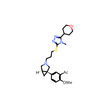 COc1ccc([C@@]23C[C@H]2CN(CCCSc2nnc(C4CCOCC4)n2C)C3)cc1C(C)=O